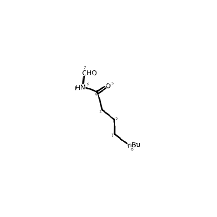 CCCCCCCC(=O)NC=O